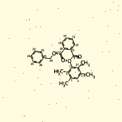 Cc1cc(C)c(C)c(OC(=O)c2ccccc2C(=O)OCc2ccccc2)c1C